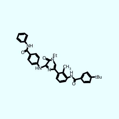 CCn1cc(-c2cccc(NC(=O)c3ccc(C(C)(C)C)cc3)c2C)nc(Nc2ccc(C(=O)Nc3ccccc3)cc2)c1=O